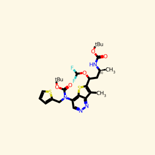 Cc1c(C(C[C@H](C)NC(=O)OC(C)(C)C)OC(F)F)sc2c(N(Cc3cccs3)C(=O)OC(C)(C)C)cnnc12